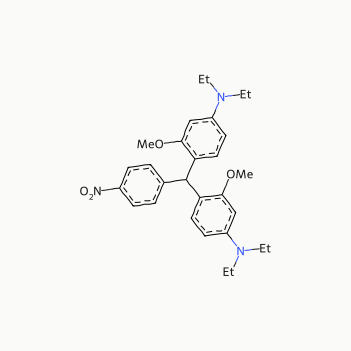 CCN(CC)c1ccc(C(c2ccc([N+](=O)[O-])cc2)c2ccc(N(CC)CC)cc2OC)c(OC)c1